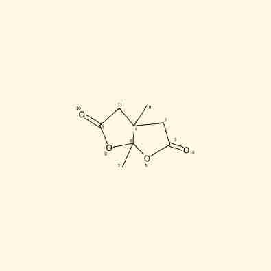 CC12CC(=O)OC1(C)OC(=O)C2